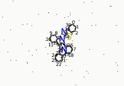 c1ccc2sc(-n3c4ccccc4c4c3c3cccc5c6ccccc6c4n53)nc2c1